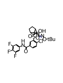 CC(C)(C)O/N=C/[C@@]1(O)CC2CCC1[C@@H]2S(=O)(=O)c1cc(C(=O)Nc2cc(F)c(F)c(F)c2)ccc1Cl